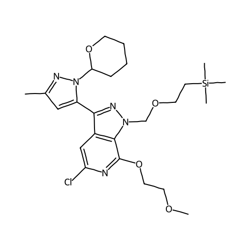 COCCOc1nc(Cl)cc2c(-c3cc(C)nn3C3CCCCO3)nn(COCC[Si](C)(C)C)c12